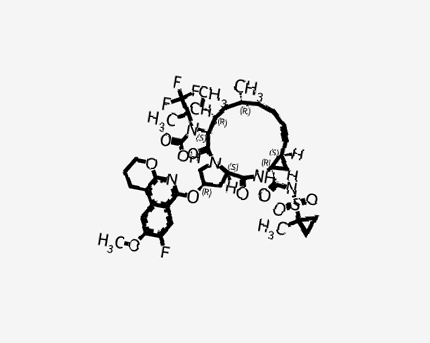 CC[C@@H]1C[C@H](C)CCC=C[C@@H]2C[C@@]2(C(=O)NS(=O)(=O)C2(C)CC2)NC(=O)[C@@H]2C[C@@H](Oc3nc4c(c5cc(OC)c(F)cc35)CCCO4)CN2C(=O)[C@H]1N(C(=O)O)C(C)(C)C(F)(F)F